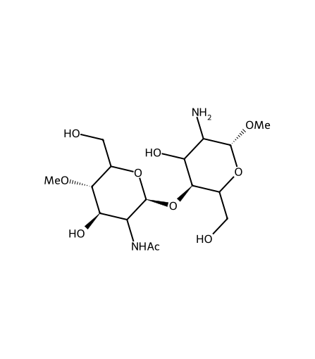 CO[C@@H]1OC(CO)[C@@H](O[C@@H]2OC(CO)[C@@H](OC)[C@H](O)C2NC(C)=O)C(O)C1N